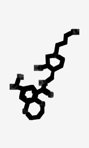 CCNc1cc2c(c(C(=O)NC[C@@H]3CCN(CCCC#N)CC3O)c1)OCCCO2